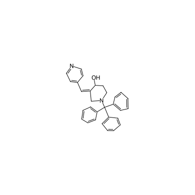 OC1CCN(C(c2ccccc2)(c2ccccc2)c2ccccc2)CC1=Cc1ccncc1